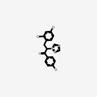 O=C(c1ccc(Cl)cc1)C(Cc1ccc(Cl)cc1Cl)n1cncn1